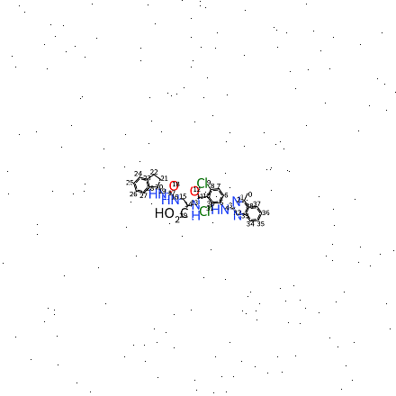 Cc1nc(Nc2ccc(Cl)c(C(=O)NC(CNC(=O)NC3CCc4ccccc43)C(=O)O)c2Cl)nc2ccccc12